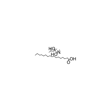 CC(C)CC(C)(O)C(O)N(C)C.CCCCCCCCCCCCCCCCC(=O)O